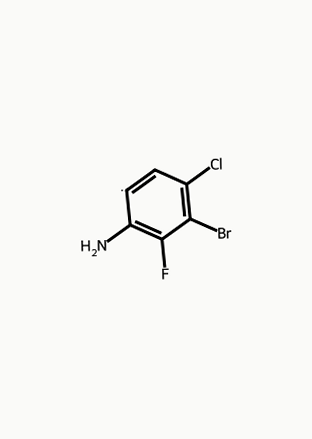 Nc1[c]cc(Cl)c(Br)c1F